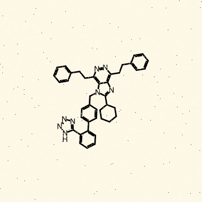 c1ccc(CCc2nnc(CCc3ccccc3)c3c2nc(C2CCCCC2)n3Cc2ccc(-c3ccccc3-c3nnn[nH]3)cc2)cc1